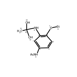 CCOc1ccc(NC(C)=O)cc1NC(C)(O)O